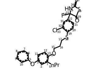 CCCc1cc(Oc2ccccc2)ccc1OCCCSc1ccc(C2(F)NC(=O)SC2=O)cc1Cl